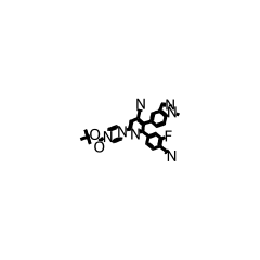 Cn1ncc2cc(-c3c(C#N)cc(N4C=CN(C(=O)OC(C)(C)C)C=C4)nc3-c3ccc(C#N)c(F)c3)ccc21